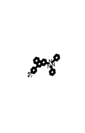 C=P(C)(C)c1ccc(-c2cc3cc(-c4nc(-c5ccccc5)nc(-c5ccccc5)n4)ccc3c3ccccc23)cc1